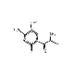 CCCCCc1cn(C(=O)C(N)C(C)C)c(=O)nc1N